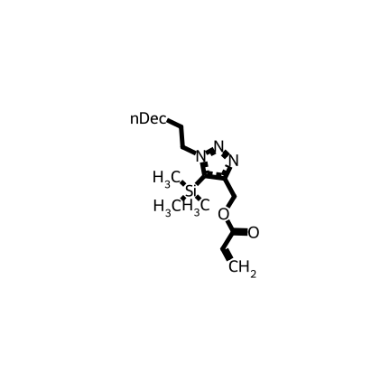 C=CC(=O)OCc1nnn(CCCCCCCCCCCC)c1[Si](C)(C)C